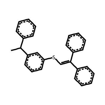 CC(c1ccccc1)c1cccc(SC=C(c2ccccc2)c2ccccc2)c1